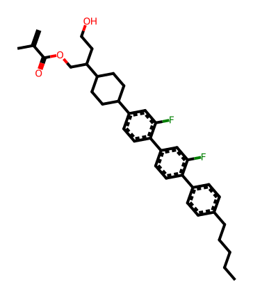 C=C(C)C(=O)OCC(CCO)C1CCC(c2ccc(-c3ccc(-c4ccc(CCCCC)cc4)c(F)c3)c(F)c2)CC1